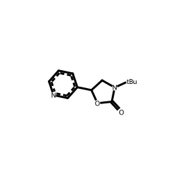 CC(C)(C)N1CC(c2cccnc2)OC1=O